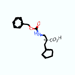 O=C(NC[C@@H](CC1CCCC1)C(=O)O)OCc1ccccc1